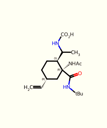 C=C[C@@H]1CC[C@@H](C(C)NC(=O)O)[C@@](NC(C)=O)(C(=O)NC(C)(C)C)C1